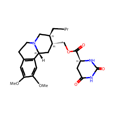 COc1cc2c(cc1OC)[C@H]1C[C@@H](COC(=O)[C@@H]3CC(=O)NC(=O)N3)[C@H](CC(C)C)CN1CC2